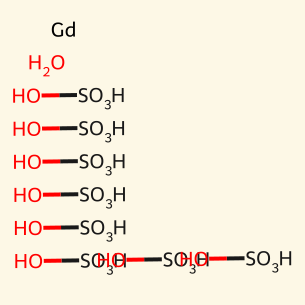 O.O=S(=O)(O)O.O=S(=O)(O)O.O=S(=O)(O)O.O=S(=O)(O)O.O=S(=O)(O)O.O=S(=O)(O)O.O=S(=O)(O)O.O=S(=O)(O)O.[Gd]